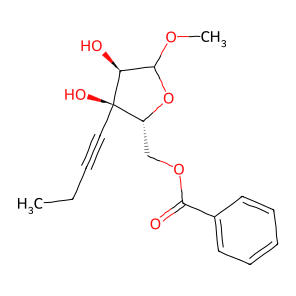 CCC#C[C@@]1(O)[C@@H](COC(=O)c2ccccc2)OC(OC)[C@@H]1O